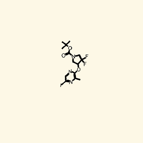 Cc1nc(I)cnc1OC1CN(C(=O)OC(C)(C)C)CC1(F)F